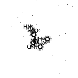 COc1cc(Nc2ncc(Cl)c(Nc3cccc(OCc4ccccc4F)c3C#N)n2)ccc1N1CCNCC1